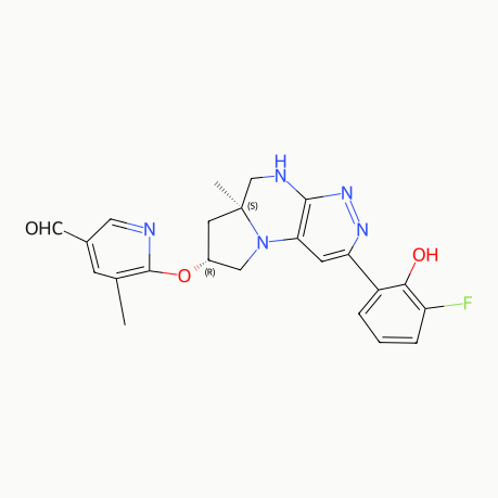 Cc1cc(C=O)cnc1O[C@H]1CN2c3cc(-c4cccc(F)c4O)nnc3NC[C@]2(C)C1